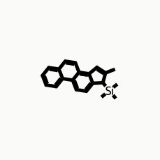 CC1=Cc2c(ccc3c2ccc2ccccc23)C1[Si](C)(C)C